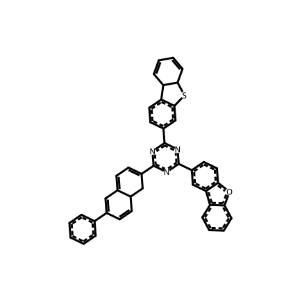 C1=CC2Sc3cc(-c4nc(C5=CC=C6C=C(c7ccccc7)C=CC6C5)nc(-c5ccc6oc7ccccc7c6c5)n4)ccc3C2C=C1